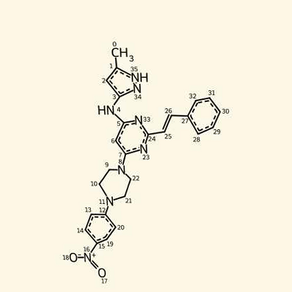 Cc1cc(Nc2cc(N3CCN(c4ccc([N+](=O)[O-])cc4)CC3)nc(/C=C/c3ccccc3)n2)n[nH]1